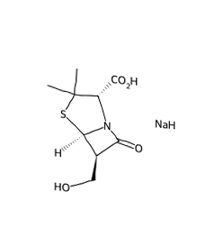 CC1(C)S[C@@H]2[C@H](CO)C(=O)N2[C@H]1C(=O)O.[NaH]